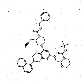 CC(C)(C)OC(=O)N1CCCO[C@@H]1COc1nc2c(c(N3CCN(C(=O)OCc4ccccc4)C(CC#N)C3)n1)CCN(c1cccc3ccccc13)C2